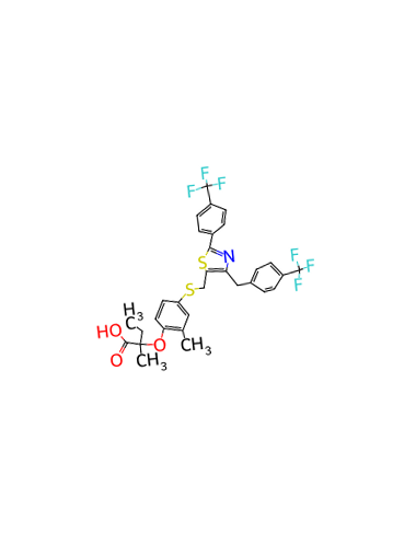 CCC(C)(Oc1ccc(SCc2sc(-c3ccc(C(F)(F)F)cc3)nc2Cc2ccc(C(F)(F)F)cc2)cc1C)C(=O)O